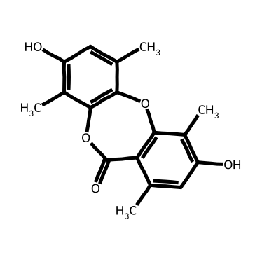 Cc1cc(O)c(C)c2c1Oc1c(C)c(O)cc(C)c1C(=O)O2